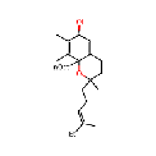 CCCCCCCCC12OC(C)(CC/C=C(\C)CC)CCC1=C[C@H](O)C(C)=C2C